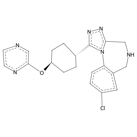 Clc1ccc2c(c1)CNCc1nnc([C@H]3CC[C@H](Oc4cnccn4)CC3)n1-2